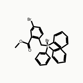 COC(=O)c1cc(Br)ccc1CP(Br)(c1ccccc1)(c1ccccc1)c1ccccc1